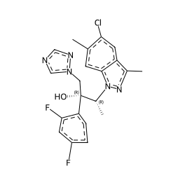 Cc1cc2c(cc1Cl)c(C)nn2[C@H](C)[C@](O)(Cn1cncn1)c1ccc(F)cc1F